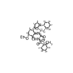 CCOc1ccc(-n2ccnc2C(Cc2ccccc2)NC(=O)NS(=O)(=O)c2ccccc2C)cc1Cl